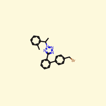 Cc1ccccc1C(C)n1nnc(-c2ccccc2-c2ccc(CBr)cc2)n1